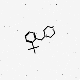 CC(C)(C)c1ccccc1CN1CCSCC1